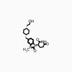 Cn1c(=O)n(C2CCC(=O)NC2=O)c2ccc(C[C@H]3CC[C@@H](CCO)CC3)cc21